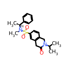 CC(C)N1Cc2ccc(S(=O)(=O)N(C)[C@@H](C)c3ccccc3)cc2CC1=O